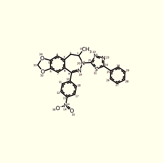 CC1Cc2cc3c(cc2C(c2ccc([N+](=O)[O-])cc2)=NN1c1nnc(-c2ccccc2)s1)OCO3